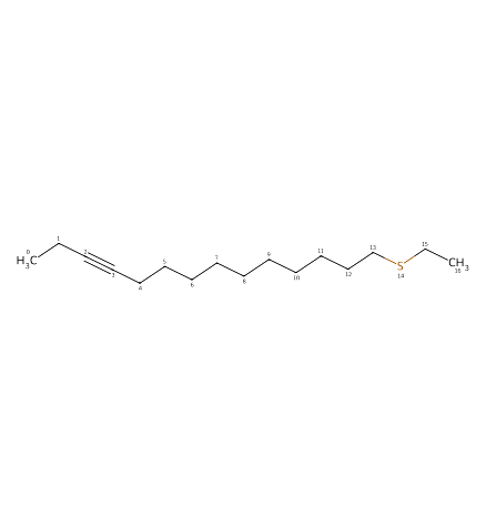 CCC#CCCCCCCCCCCSCC